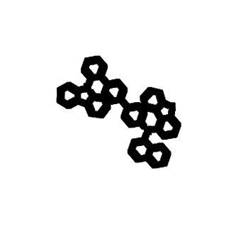 c1ccc(-n2c3ccccc3c3ccccc32)c(-c2ccc(-c3ccc(N(c4cccc5ccccc45)c4cccc5sc6ccccc6c45)cc3)cc2)c1